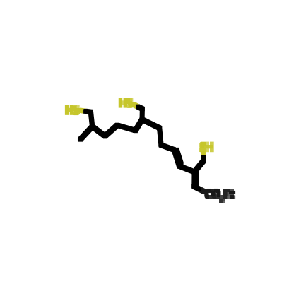 CCOC(=O)C=C(C=CCCC(CS)CCCC(C)CS)CS